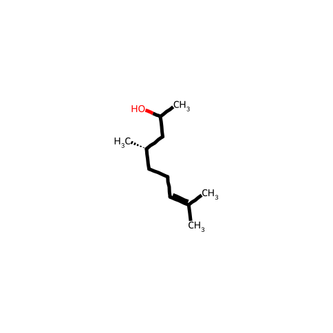 CC(C)=CCC[C@H](C)CC(C)O